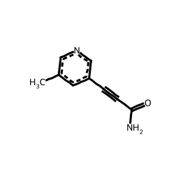 Cc1cncc(C#CC(N)=O)c1